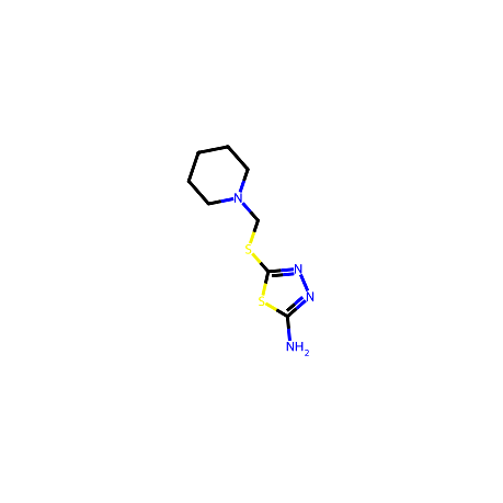 Nc1nnc(SCN2CCCCC2)s1